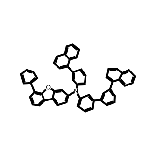 c1ccc(-c2cccc3c2oc2cc(N(c4cccc(-c5cccc(-c6cccc7ccccc67)c5)c4)c4cccc(-c5cccc6ccccc56)c4)ccc23)cc1